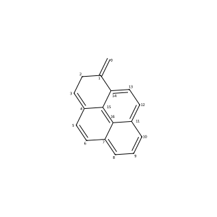 C=C1CC=c2ccc3cccc4ccc1c2c43